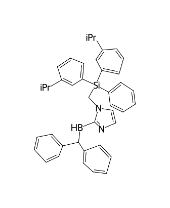 CC(C)c1cccc([Si](Cn2ccnc2BC(c2ccccc2)c2ccccc2)(c2ccccc2)c2cccc(C(C)C)c2)c1